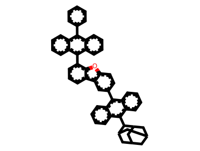 c1ccc(-c2c3ccccc3c(-c3cccc4c3oc3ccc(-c5c6ccccc6c(C6C7CC8CC(C7)CC6C8)c6ccccc56)cc34)c3ccccc23)cc1